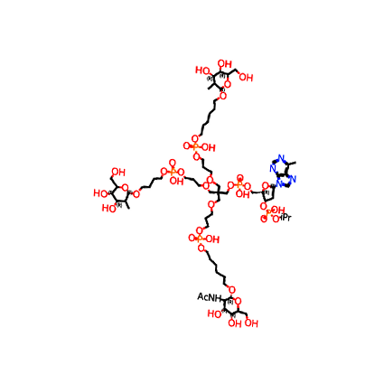 CC(=O)NC1[C@H](OCCCCCCOP(=O)(O)OCCCOCC(COCCCOP(=O)(O)OCCCCCCO[C@@H]2OC(CO)[C@H](O)[C@H](O)C2C)(COCCCOP(=O)(O)OCCCCO[C@@H]2OC(CO)[C@H](O)[C@H](O)C2C)COP(=O)(O)OC[C@H]2O[C@@H](n3cnc4c(C)ncnc43)CC2OP(=O)(O)OC(C)C)OC(CO)[C@H](O)[C@@H]1O